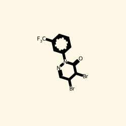 O=C1C(Br)C(Br)C=NN1c1cccc(C(F)(F)F)c1